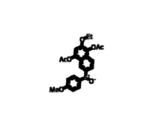 CCOc1cc(OC(C)=O)c2cc([S+]([O-])c3ccc(OC)cc3)ccc2c1OC(C)=O